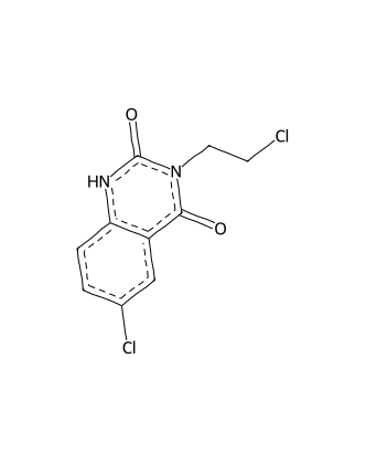 O=c1[nH]c2ccc(Cl)cc2c(=O)n1CCCl